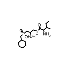 CCC(C)C(N)C(=O)NCC(O)CP(=O)(O)CC1CCCCC1